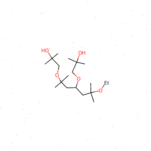 CCOC(C)(C)CC(CC(C)(C)OCC(C)(C)O)OCC(C)(C)O